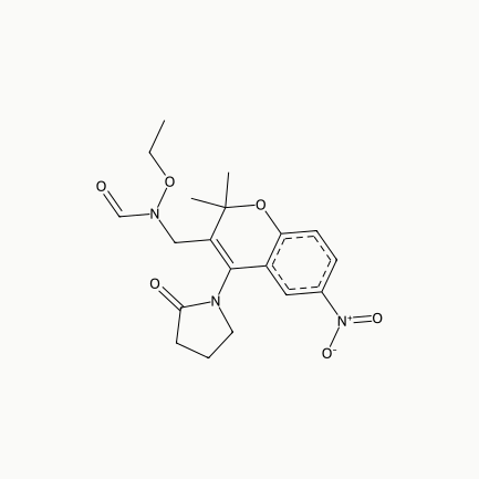 CCON(C=O)CC1=C(N2CCCC2=O)c2cc([N+](=O)[O-])ccc2OC1(C)C